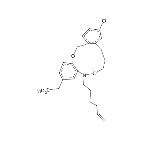 C=CCCCCN1CCCCc2cc(Cl)ccc2COc2ccc(CC(=O)O)cc21